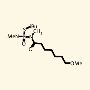 CCC(C)SP(=O)(NC)N(C)C(=O)CCCCCCOC